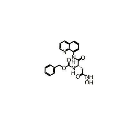 O=C(C[C@H](NC(=O)OCc1ccccc1)C(=O)Nc1cccc2cccnc12)NO